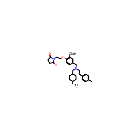 COc1cc(CN(CCc2ccc(C)cc2)CC2CCC(C(=O)O)CC2)ccc1OCCN1C(=O)CCC1=O